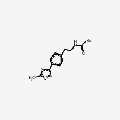 CCC(C)C(=O)NCCc1ccc(-c2noc(C(F)(F)F)n2)cc1